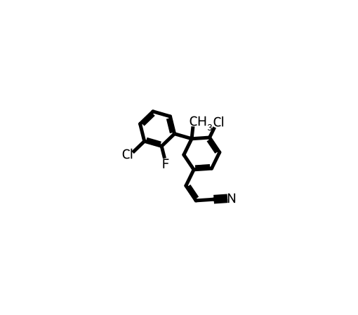 CC1(c2cccc(Cl)c2F)CC(/C=C\C#N)=CC=C1Cl